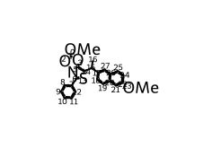 COC(=O)Oc1nc(-c2ccccc2)sc1C(C)c1ccc2cc(OC)ccc2c1